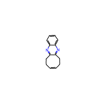 C1=CCCc2nc3ccccc3nc2CC1